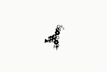 Cn1cc2cc(-n3cc4cnc(NC5CC5)nc4c(-c4ccc(OC(F)F)cc4)c3=O)ccc2n1